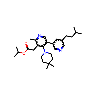 Cc1ncc(-c2cncc(CCC(C)C)c2)c(N2CCC(C)(C)CC2)c1CC(=O)OC(C)C